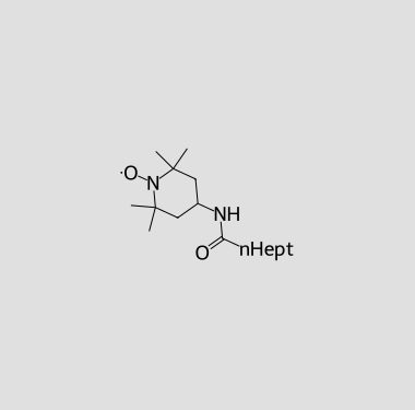 CCCCCCCC(=O)NC1CC(C)(C)N([O])C(C)(C)C1